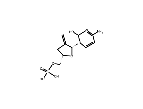 C=C1C[C@@H](COP(=O)(O)O)O[C@H]1N1C=CC(N)=NC1O